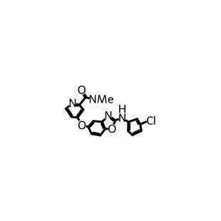 CNC(=O)c1cc(Oc2ccc3oc(Nc4cccc(Cl)c4)nc3c2)ccn1